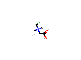 C[N+](C)(CCl)CC(=O)O.[Cl-]